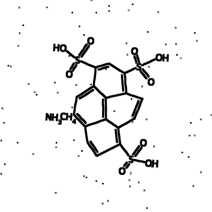 C.N.O=S(=O)(O)c1ccc2ccc3c(S(=O)(=O)O)cc(S(=O)(=O)O)c4ccc1c2c34